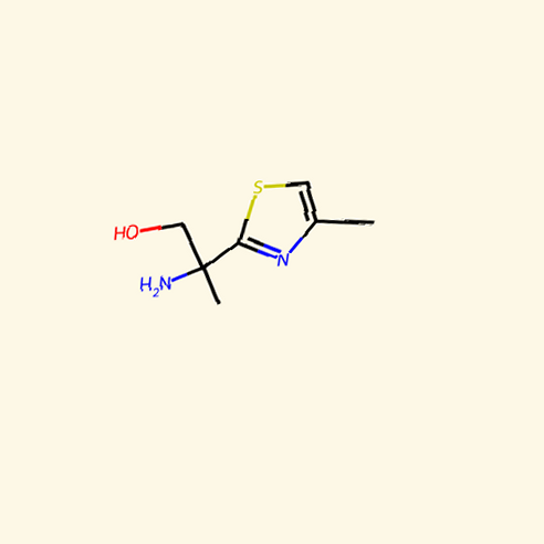 Cc1csc(C(C)(N)CO)n1